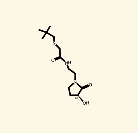 CC(C)(C)CSCC(=O)NCCN1CC[C@H](O)C1=O